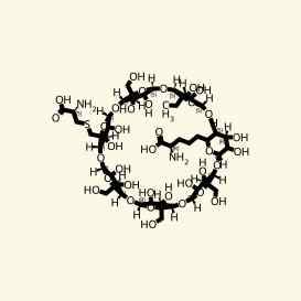 CCC1O[C@H]2O[C@@H]3C(CCC[C@@H](N)C(=O)O)O[C@@H](O[C@@H]4C(CO)O[C@H](O[C@@H]5C(CO)O[C@H](O[C@@H]6C(CO)O[C@H](O[C@@H]7C(CSC[C@@H](N)C(=O)O)O[C@H](O[C@@H]8C(CO)O[C@@H](O[C@H]1[C@H](O)C2O)C(O)[C@H]8O)C(O)[C@H]7O)C(O)[C@H]6O)C(O)[C@H]5O)C(O)[C@H]4O)C(O)[C@H]3O